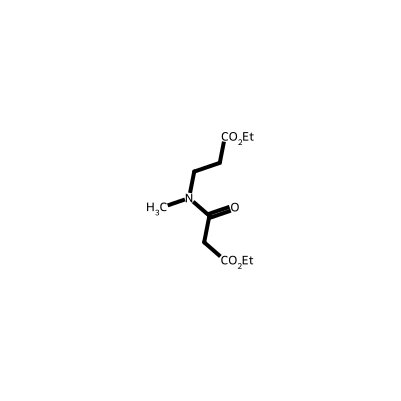 CCOC(=O)CCN(C)C(=O)CC(=O)OCC